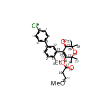 CCc1ccc(-c2ccc(Cl)cc2)cc1C1=C(OC(=O)CCOC)C(C)(C)OC(C)(C)C1=O